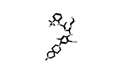 COc1cc(N2CCC3(CCN(C)CC3)CC2)c(F)cc1NC(=N/C=C/Cl)/N=C(\C)Nc1ccccc1P(C)(C)=O